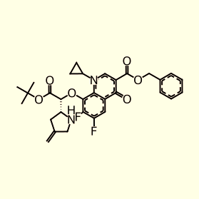 C=C1CN[C@@H](C(Oc2c(F)c(F)cc3c(=O)c(C(=O)OCc4ccccc4)cn(C4CC4)c23)C(=O)OC(C)(C)C)C1